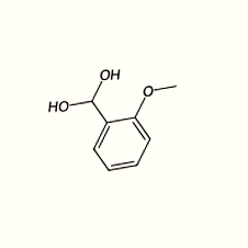 COc1ccccc1C(O)O